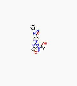 CC(C)[C@H](CO)Nc1nc(N2CCC(c3nc(-c4ccccc4)no3)CC2)nc2c1[S+]([O-])CC2